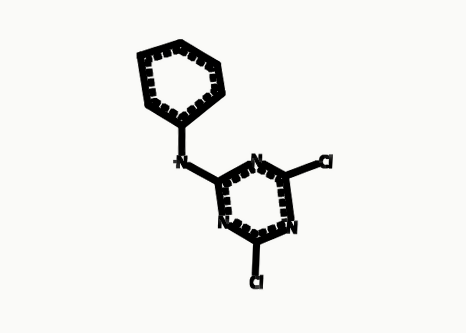 Clc1nc(Cl)nc([N]c2ccccc2)n1